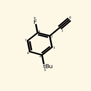 C#Cc1cc(C(C)(C)C)ccc1F